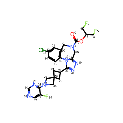 O=C(OC(CF)CF)N1Cc2cc(Cl)ccc2-n2c(nnc2C2CC3(C2)CN(c2ncncc2F)C3)C1